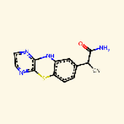 N#CC(C(N)=O)c1ccc2c(c1)Nc1nccnc1S2